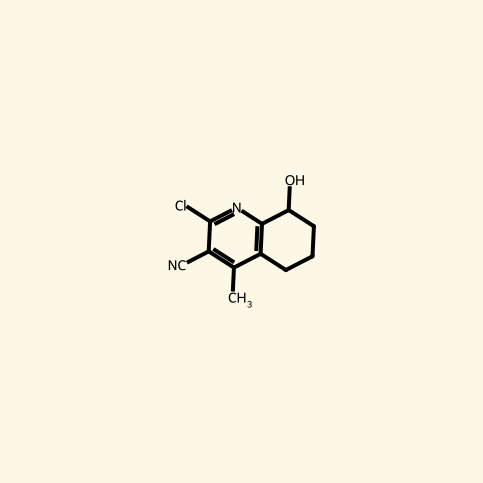 Cc1c(C#N)c(Cl)nc2c1CCCC2O